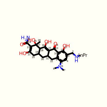 CCCNCc1cc(N(C)C)c2c(c1O)C(=O)C1=C(O)C3C(CC(O)=C(C(N)=O)C3(C)O)CC1C2